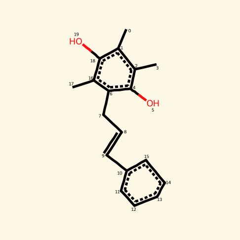 Cc1c(C)c(O)c(C/C=C/c2ccccc2)c(C)c1O